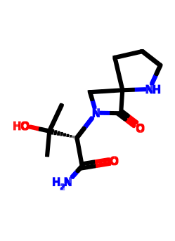 CC(C)(O)[C@@H](C(N)=O)N1CC2(CCCN2)C1=O